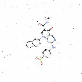 CONC(=O)c1cn(-c2ccc3c(c2)CCC3)c2nc(Nc3ccc([SH](=O)=O)cc3)ncc2c1=O